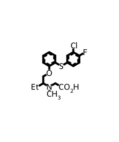 CCC(COc1ccccc1Sc1ccc(F)c(Cl)c1)N(C)CC(=O)O